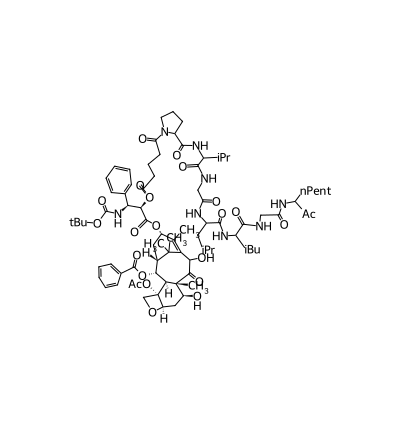 CCCCCC(NC(=O)CNC(=O)C(NC(=O)C(CC(C)C)NC(=O)CNC(=O)C(NC(=O)C1CCCN1C(=O)CCCC(=O)O[C@@H](C(=O)O[C@H]1C[C@H]2[C@@H](OC(=O)c3ccccc3)[C@@H]3[C@]4(OC(C)=O)CO[C@@H]4C[C@H](O)[C@@]3(C)C(=O)C(O)C(=C1C)C2(C)C)[C@@H](NC(=O)OC(C)(C)C)c1ccccc1)C(C)C)C(C)CC)C(C)=O